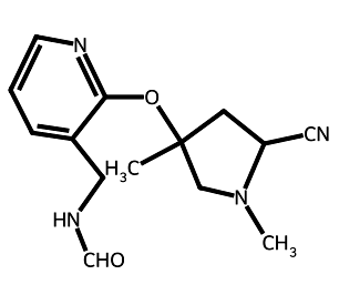 CN1CC(C)(Oc2ncccc2CNC=O)CC1C#N